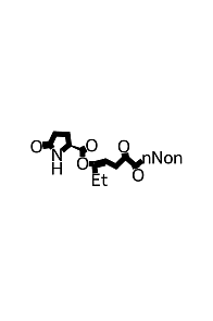 CCCCCCCCCC(=O)C(=O)CC=C(CC)OC(=O)[C@@H]1CCC(=O)N1